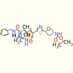 C/C(=C\C=C(/CS(=O)(=O)NC(C)(C)C)c1cnc([C@@H]2CC[C@@H](NC(=O)OC(C)C)CO2)s1)NC(=O)NCc1ccccc1